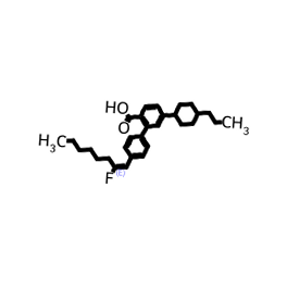 CCCCCC/C(F)=C\c1ccc(-c2cc(C3CCC(CCC)CC3)ccc2C(=O)O)cc1